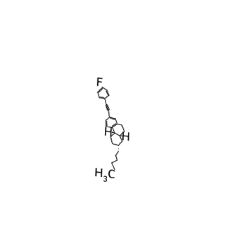 CCCCCC[C@@H]1CC[C@@H]2c3ccc(C#Cc4ccc(F)cc4)cc3CC[C@@H]2C1